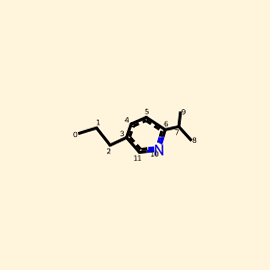 CCCc1ccc(C(C)C)nc1